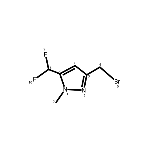 Cn1nc(CBr)cc1C(F)F